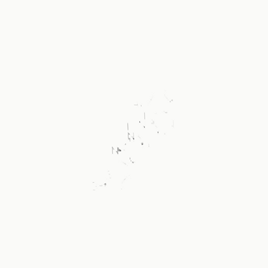 O=C(NC(=O)c1c(F)cccc1F)Nc1nc2cc(Br)ccc2o1